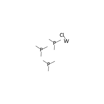 CP(C)C.CP(C)C.CP(C)C.[Cl][W]